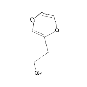 OCCC1=COC=CO1